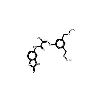 CC(=O)/C(=N/Nc1cc(COC=O)cc(COC=O)c1)C(=O)Nc1ccc2[nH]c(=O)[nH]c2c1